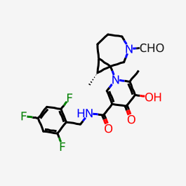 Cc1c(O)c(=O)c(C(=O)NCc2c(F)cc(F)cc2F)cn1C12CN(C=O)CCCC1[C@H]2C